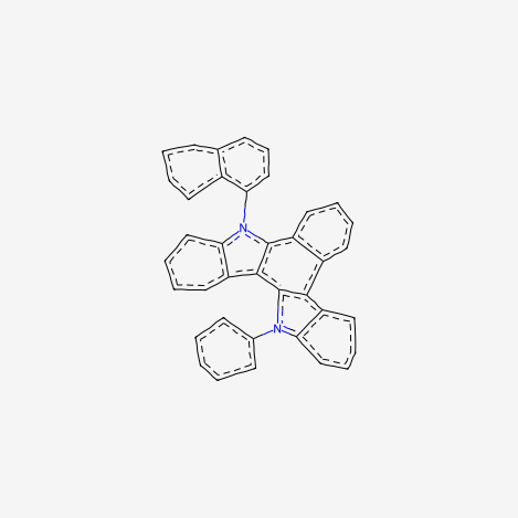 c1ccc(-n2c3ccccc3c3c4ccccc4c4c(c5ccccc5n4-c4cccc5ccccc45)c32)cc1